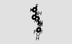 Oc1c(F)cc(-n2cc(-c3ccc4c(Nc5cc(F)cc(I)c5)cccc4n3)nn2)cc1F